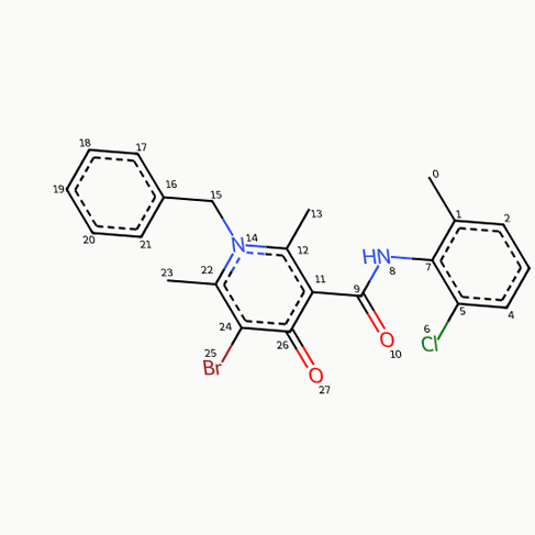 Cc1cccc(Cl)c1NC(=O)c1c(C)n(Cc2ccccc2)c(C)c(Br)c1=O